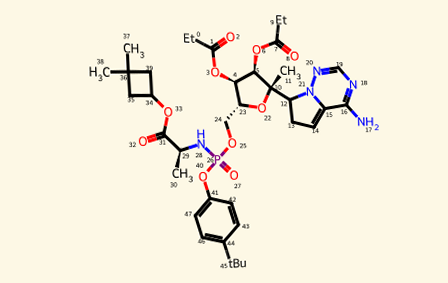 CCC(=O)O[C@H]1[C@@H](OC(=O)CC)[C@](C)(C2CC=C3C(N)=NC=NN32)O[C@@H]1COP(=O)(N[C@@H](C)C(=O)OC1CC(C)(C)C1)Oc1ccc(C(C)(C)C)cc1